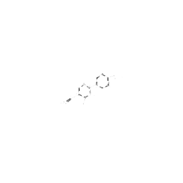 Cc1ccc(-c2ccc(C#N)c(F)c2)cc1